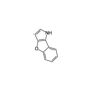 [c]1c[nH]c2c1oc1ccccc12